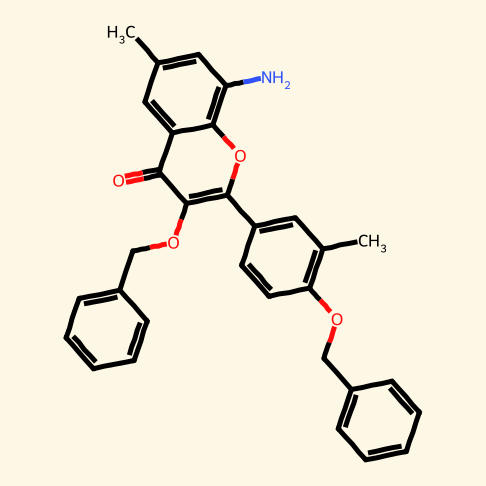 Cc1cc(N)c2oc(-c3ccc(OCc4ccccc4)c(C)c3)c(OCc3ccccc3)c(=O)c2c1